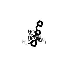 CCC(C)(Pc1c(C)cccc1N(C)C)c1cccc(Cc2ccccc2)c1O